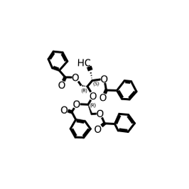 C#C[C@H](OC(=O)c1ccccc1)[C@@H](COC(=O)c1ccccc1)O[C@@H](COC(=O)c1ccccc1)OC(=O)c1ccccc1